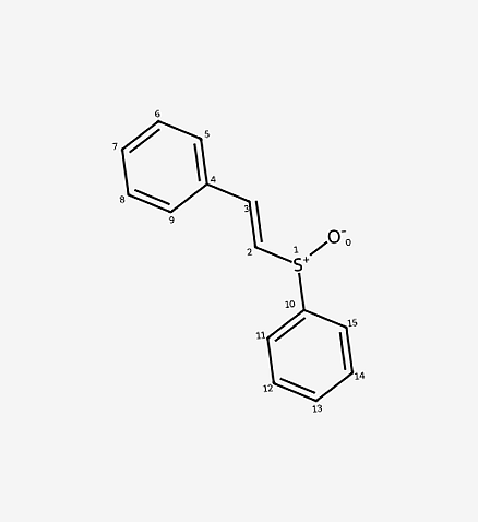 [O-][S+](C=Cc1ccccc1)c1ccccc1